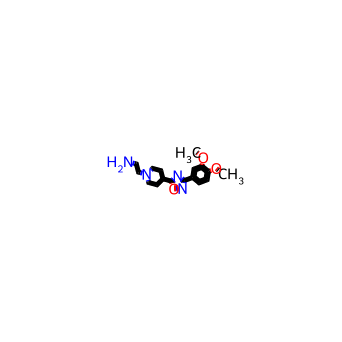 COc1ccc(-c2noc(C3CCN(CCN)CC3)n2)cc1OC